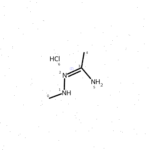 CN/N=C(/C)N.Cl